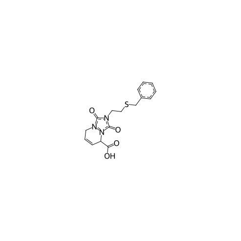 O=C(O)C1C=CCn2c(=O)n(CCSCc3ccccc3)c(=O)n21